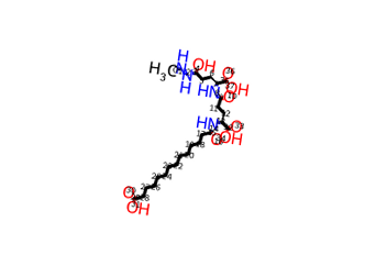 CNNC(O)CC[C@H](NC(=O)CC[C@H](NC(=O)CCCCCCCCCCCCC(=O)O)C(=O)O)C(=O)O